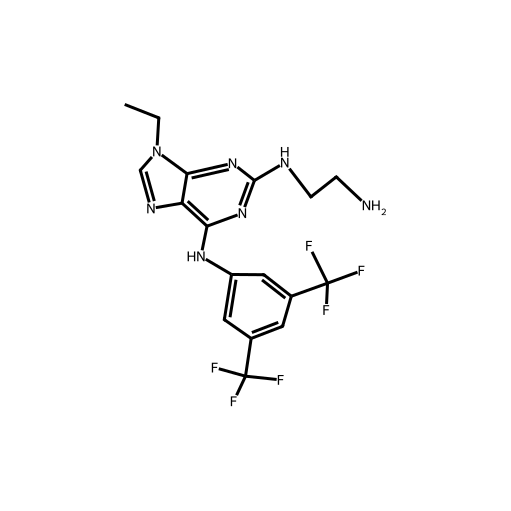 CCn1cnc2c(Nc3cc(C(F)(F)F)cc(C(F)(F)F)c3)nc(NCCN)nc21